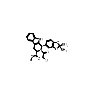 BC1(B)Oc2ccc([C@@H]3c4[nH]c5ccccc5c4C[C@H](C(=O)OC)N3C(=O)CCl)cc2O1